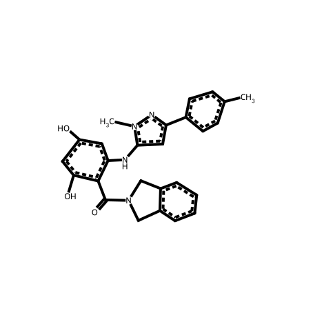 Cc1ccc(-c2cc(Nc3cc(O)cc(O)c3C(=O)N3Cc4ccccc4C3)n(C)n2)cc1